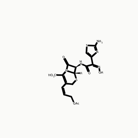 CC(=O)OC/C=C\C1=C(C(=O)O)N2C(=O)[C@@H](NC(=O)/C(=N\O)c3csc(N)n3)[C@@H]2SC1